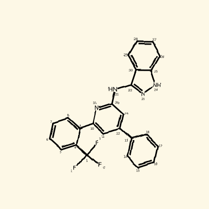 FC(F)(F)c1ccccc1-c1cc(-c2ccccc2)cc(Nc2n[nH]c3ccccc23)n1